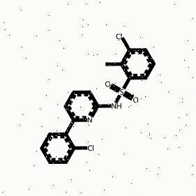 Cc1c(Cl)cccc1S(=O)(=O)Nc1cccc(-c2ccccc2Cl)n1